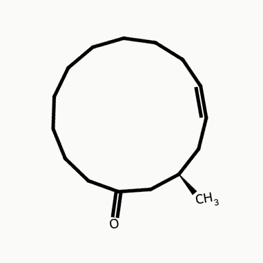 C[C@@H]1C/C=C\CCCCCCCCCC(=O)C1